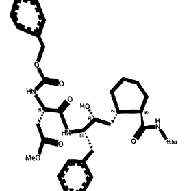 COC(=O)C[C@H](NC(=O)OCc1ccccc1)C(=O)N[C@@H](Cc1ccccc1)[C@H](O)C[C@@H]1CCCC[C@H]1C(=O)NC(C)(C)C